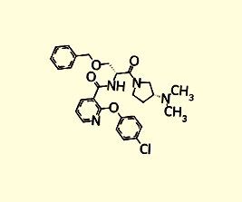 CN(C)[C@@H]1CCN(C(=O)[C@@H](COCc2ccccc2)NC(=O)c2cccnc2Oc2ccc(Cl)cc2)C1